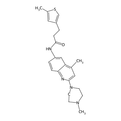 Cc1cc(CCC(=O)Nc2ccc3nc(N4CCN(C)CC4)cc(C)c3c2)cs1